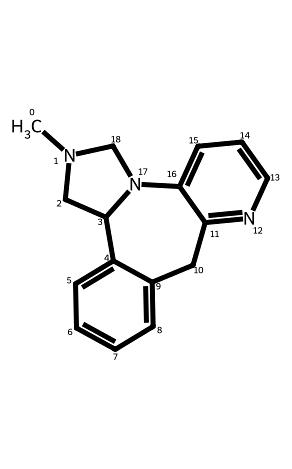 CN1CC2c3ccccc3Cc3ncccc3N2C1